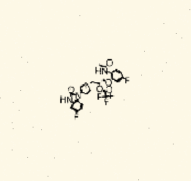 CC(=O)Nc1ccc(F)cc1OC[C@@H](CN1CCC(n2c(=O)[nH]c3cc(F)ccc32)CC1)OC(=O)C(F)(F)F